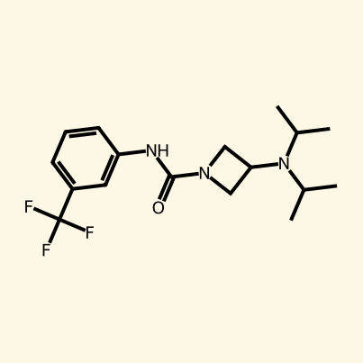 CC(C)N(C(C)C)C1CN(C(=O)Nc2cccc(C(F)(F)F)c2)C1